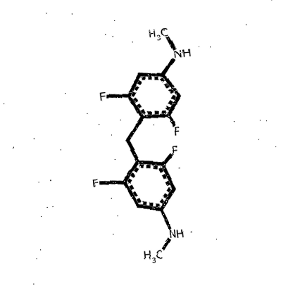 CNc1cc(F)c(Cc2c(F)cc(NC)cc2F)c(F)c1